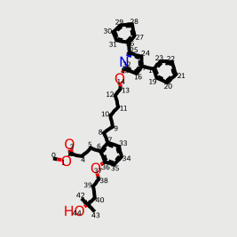 COC(=O)CCc1c(CCCCCCOc2cc(-c3ccccc3)cc(-c3ccccc3)n2)cccc1OCCCC(C)(C)O